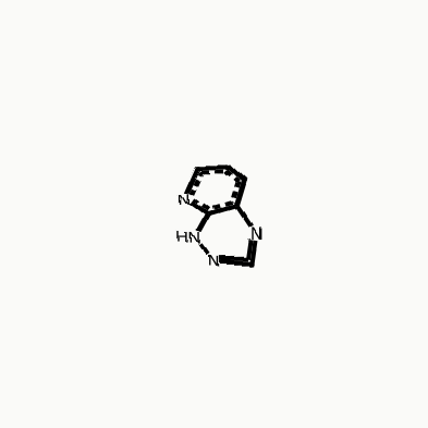 C1=NNc2ncccc2N=1